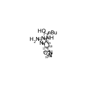 CCCCC(CO)Nc1nc(N)nc2cc(-c3nnco3)ccc12